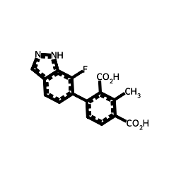 Cc1c(C(=O)O)ccc(-c2ccc3cn[nH]c3c2F)c1C(=O)O